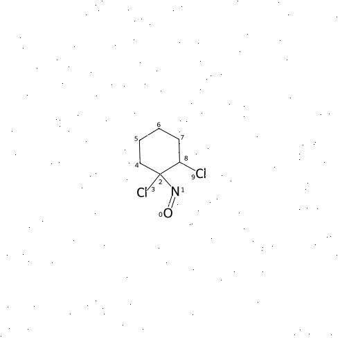 O=NC1(Cl)CCCCC1Cl